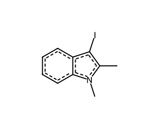 Cc1c(I)c2ccccc2n1C